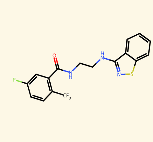 O=C(NCCNc1nsc2ccccc12)c1cc(F)ccc1C(F)(F)F